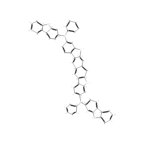 c1ccc(N(c2ccc3c(c2)oc2cc4cc5oc6cc(N(c7ccccc7)c7ccc8c(c7)sc7ccccc78)ccc6c5cc4cc23)c2ccc3c(c2)sc2ccccc23)cc1